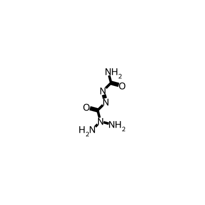 NC(=O)N=NC(=O)N(N)N